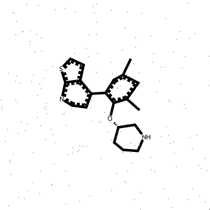 Cc1cc(C)c(O[C@H]2CCCNC2)c(-c2ccnc3sccc23)c1